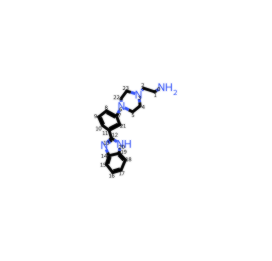 NCCN1CCN(c2cccc(-c3nc4ccccc4[nH]3)c2)CC1